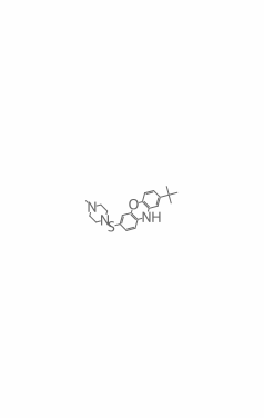 CN1CCN(Sc2ccc3c(c2)Oc2ccc(C(C)(C)C)cc2N3)CC1